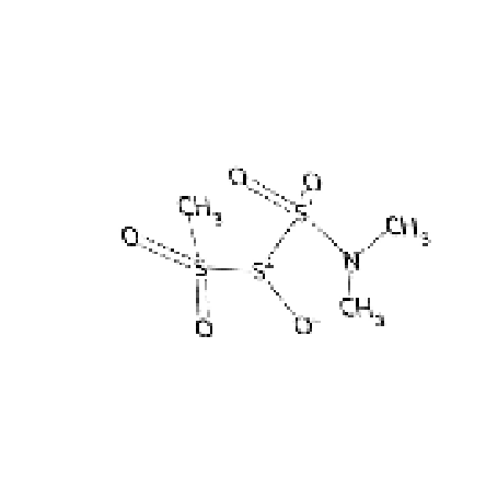 CN(C)S(=O)(=O)[S+]([O-])S(C)(=O)=O